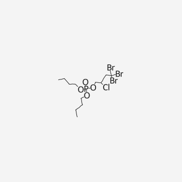 CCCCOP(=O)(OCCCC)OCC(Cl)CC(Br)(Br)Br